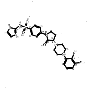 O=C1[C@@H](N2CCN(c3cccc(F)c3F)CC2)CCN1c1ccc(S(=O)(=O)Nc2nccs2)cc1